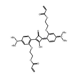 C=CC(=O)OCCOC1=CC(=[N+](CCCC)CCCC)C=C/C1=C1/C(=O)C(c2ccc(N(CCCC)CCCC)cc2OCCOC(=O)C=C)=C1O